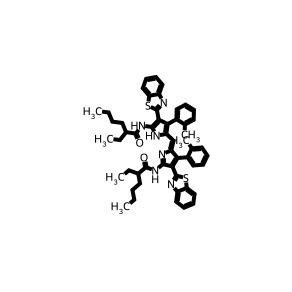 CCCCC(CC)C(=O)NC1=N/C(=C\c2[nH]c(NC(=O)C(CC)CCCC)c(-c3nc4ccccc4s3)c2-c2ccccc2C)C(c2ccccc2C)=C1c1nc2ccccc2s1